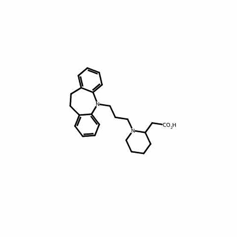 O=C(O)CC1CCCCN1CCCN1c2ccccc2CCc2ccccc21